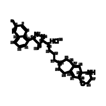 Cc1ccc2c(-c3nnc(SCCCN4CCc5cc6c(cc5CC4)OCCN6)n3C)cccc2n1.Cl